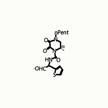 CCCCCN1C[C@H](C)N(C(=O)NC([C]=O)c2cccs2)C(=O)C1=O